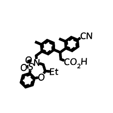 CCC1CN(Cc2cc(C(CC(=O)O)c3ccc(C#N)cc3C)ccc2C)S(=O)(=O)c2ccccc2O1